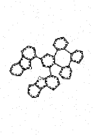 c1ccc2c(c1)-c1ccccc1-c1cc(-c3cccc4c3oc3ccccc34)cc(-c3cccc4c3oc3ccccc34)c1-c1ccccc1-2